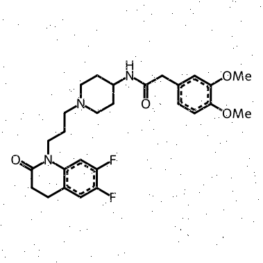 COc1ccc(CC(=O)NC2CCN(CCCN3C(=O)CCc4cc(F)c(F)cc43)CC2)cc1OC